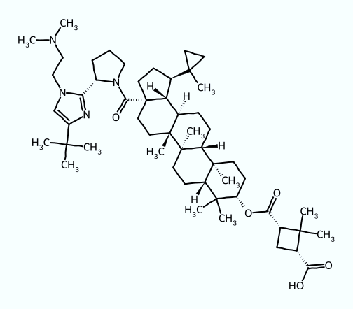 CN(C)CCn1cc(C(C)(C)C)nc1[C@@H]1CCCN1C(=O)[C@]12CC[C@@H](C3(C)CC3)[C@@H]1[C@H]1CC[C@@H]3[C@@]4(C)CC[C@H](OC(=O)[C@H]5C[C@@H](C(=O)O)C5(C)C)C(C)(C)[C@@H]4CC[C@@]3(C)[C@]1(C)CC2